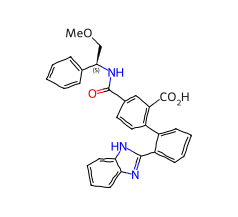 COC[C@@H](NC(=O)c1ccc(-c2ccccc2-c2nc3ccccc3[nH]2)c(C(=O)O)c1)c1ccccc1